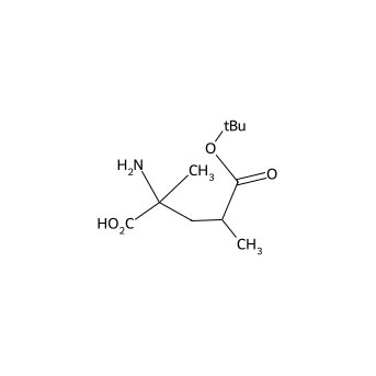 CC(CC(C)(N)C(=O)O)C(=O)OC(C)(C)C